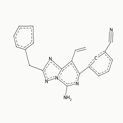 C=Cc1c(-c2cccc(C#N)c2)nc(N)n2nc(Cc3ccccc3)nc12